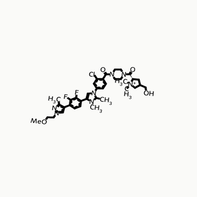 COCCn1cc(-c2ccc(C3=CN(c4ccc(C(=O)N5CCN(C(=O)[C@@H]6CC(CO)C[N+]6(C)C)CC5)c(Cl)c4)C(C)N3C)c(F)c2F)c(C)n1